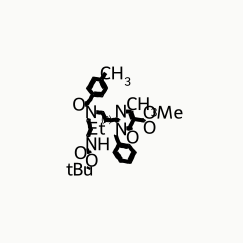 CC[C@H](CN(CCCNC(=O)OC(C)(C)C)C(=O)c1ccc(C)cc1)c1nc(C)c(C(=O)OC)c(=O)n1Cc1ccccc1